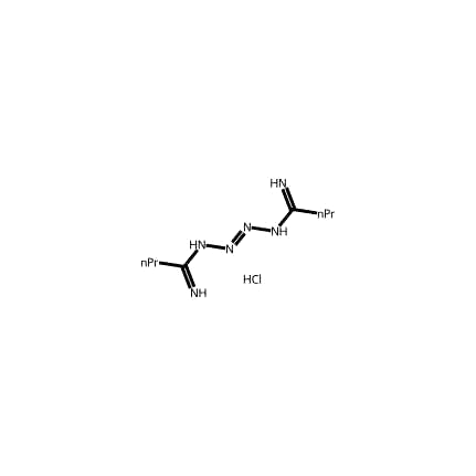 CCCC(=N)NN=NNC(=N)CCC.Cl